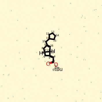 CC(C)(C)OC(=O)C=C1C[C@H]2CC(CC3CCCC3)=C[C@@H]12